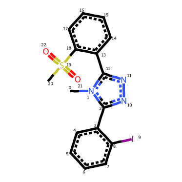 Cn1c(-c2ccccc2I)nnc1-c1ccccc1S(C)(=O)=O